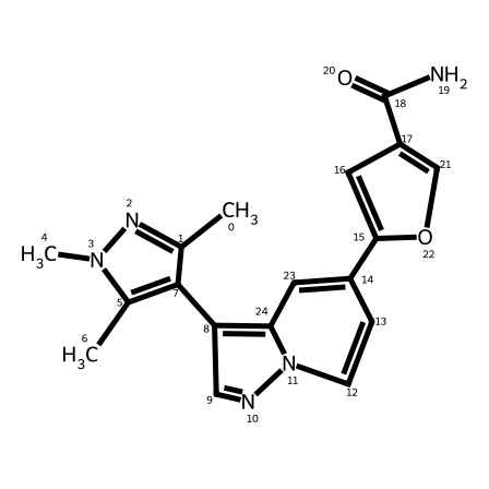 Cc1nn(C)c(C)c1-c1cnn2ccc(-c3cc(C(N)=O)co3)cc12